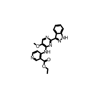 CCOC(=O)c1cnccc1Nc1nc(-c2n[nH]c3ccccc23)ncc1OC